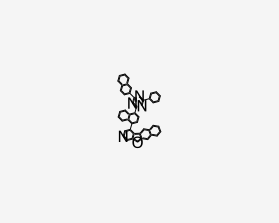 c1ccc(-c2nc(-c3ccc4ccccc4c3)nc(-c3ccc(-c4cncc5oc6cc7ccccc7cc6c45)c4ccccc34)n2)cc1